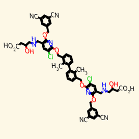 Cc1c(COc2nc(OCc3cc(C#N)cc(C#N)c3)c(CNCC(O)CC(=O)O)cc2Cl)cccc1-c1cccc(COc2nc(OCc3cc(C#N)cc(C#N)c3)c(CNCC(O)CC(=O)O)cc2Cl)c1C